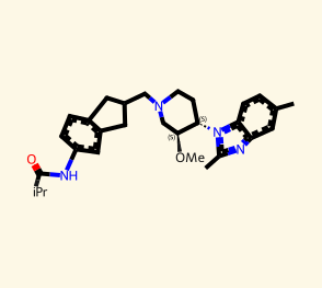 CO[C@H]1CN(CC2Cc3ccc(NC(=O)C(C)C)cc3C2)CC[C@@H]1n1c(C)nc2cc(C)ccc21